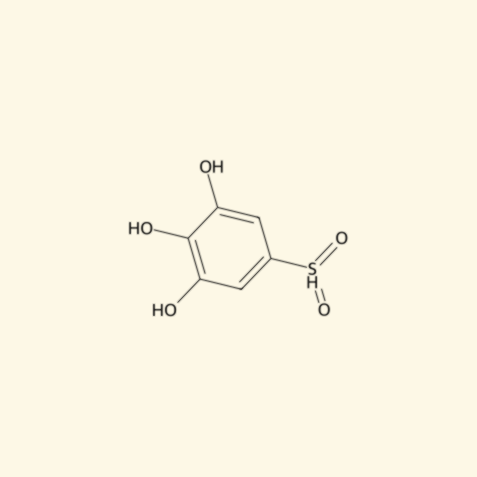 O=[SH](=O)c1cc(O)c(O)c(O)c1